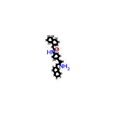 NC1(Cc2ccc3ccccc3c2)CC1c1ccc(NC(=O)Cc2cccc3ccccc23)cc1